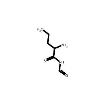 CCCC(N)C(=O)NC=O